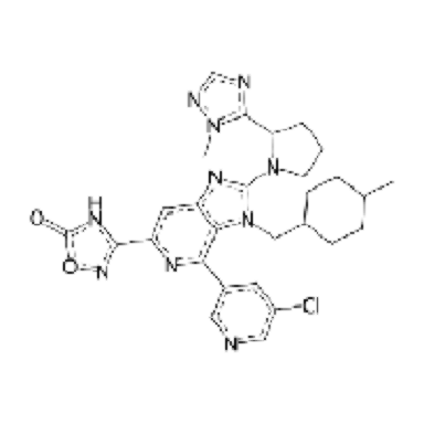 CC1CCC(Cn2c(N3CCCC3c3ncnn3C)nc3cc(-c4noc(=O)[nH]4)nc(-c4cncc(Cl)c4)c32)CC1